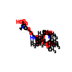 CC[C@H]1OC(=O)[C@H](C)[C@@H](O[C@H]2C[C@@](C)(OC)[C@@H](OC(=O)NCCCOCCOc3ccc4c(c3)c(=O)c(C(=O)O)cn4C3CC3)[C@H](C)O2)[C@H](C)[C@@H](O[C@@H]2O[C@H](C)C[C@H](N(C)C)[C@H]2O)[C@](C)(O)C[C@@H](C)CN(C)[C@H](C)[C@@H](O)[C@]1(C)O